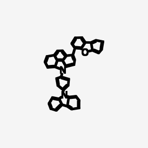 c1ccc2c(c1)oc1c(-c3ccc4c5c3ccc3cccc(c35)n4-c3ccc(-n4c5ccccc5c5ccccc54)cc3)cccc12